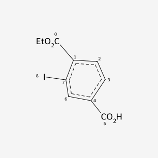 CCOC(=O)c1ccc(C(=O)O)cc1I